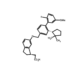 COc1ccc(F)c(-c2ccc(COc3ccc4c(c3)[C@@H](CC(=O)O)CC4)cc2[C@@H]2CCCC2(C)C)c1